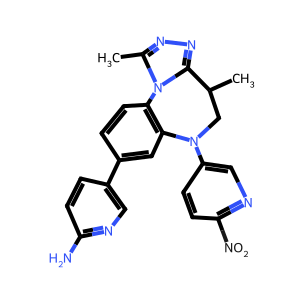 Cc1nnc2n1-c1ccc(-c3ccc(N)nc3)cc1N(c1ccc([N+](=O)[O-])nc1)CC2C